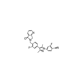 Cc1nn(-c2ccc(C#N)c(F)c2)c(C)c1-c1ccc(CN2Cc3ncccc3C2=O)c(F)c1